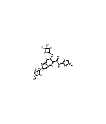 Cn1ccc(NC(=O)c2cn3cc(C45COC(C)(C4)C5)nc3cc2OC2CC(C)(C)C2)n1